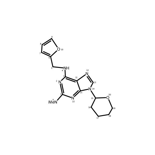 CNc1nc(NCc2ccco2)c2ncn(C3CCCCO3)c2n1